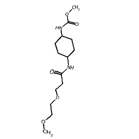 COCCOCCC(=O)NC1CCC(NC(=O)OC)CC1